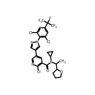 CC(C1CCCO1)N(C(=O)c1cc(-c2cnn(-c3c(Cl)cc(C(F)(C(F)(F)F)C(F)(F)F)cc3Cl)c2)cnc1Cl)C1CC1